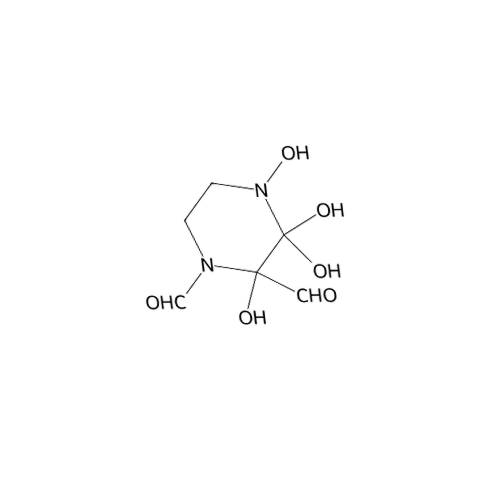 O=CN1CCN(O)C(O)(O)C1(O)C=O